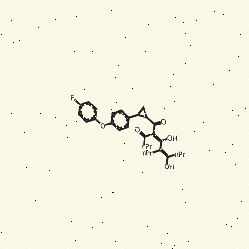 CCCC(=O)/C(C(=O)C1CC1c1ccc(Oc2ccc(F)cc2)cc1)=C(O)\C(CCC)=C(\O)CCC